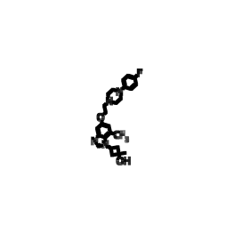 CC1(O)CC(n2cnc3cc(OCCN4CCN(c5ccc(F)cc5)CC4)cc(C(F)(F)F)c32)C1